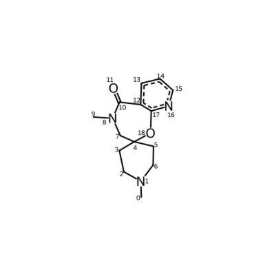 CN1CCC2(CC1)CN(C)C(=O)c1cccnc1O2